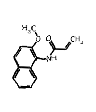 C=CC(=O)Nc1c(OC)ccc2ccccc12